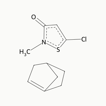 C1=C2CCC(C1)C2.Cn1sc(Cl)cc1=O